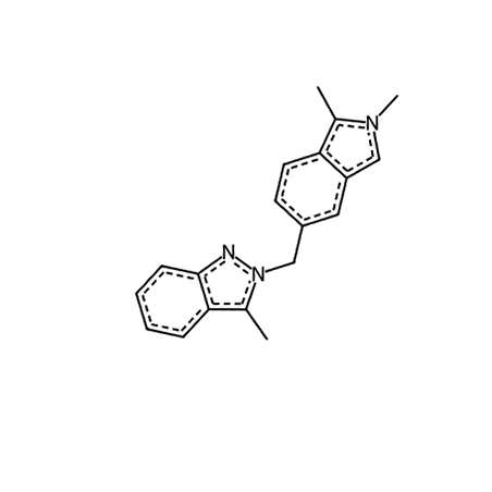 Cc1c2ccc(Cn3nc4ccccc4c3C)cc2cn1C